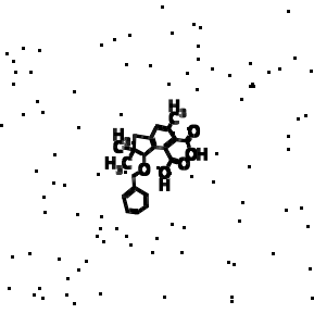 Cc1cc2c(c(C(=O)O)c1C(=O)O)C(OCc1ccccc1)C(C)(C)C2